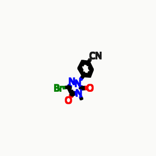 Cn1c(=O)c(Br)nn(-c2ccc(C#N)cc2)c1=O